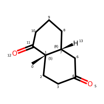 C[C@]12CCC(=O)C[C@H]1CCCC2=O